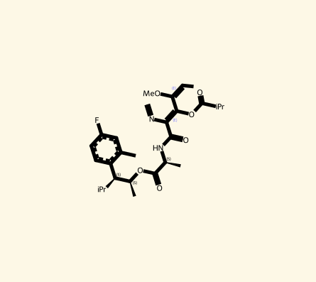 C=N/C(C(=O)N[C@@H](C)C(=O)O[C@@H](C)[C@H](c1ccc(F)cc1C)C(C)C)=C(OC(=O)C(C)C)\C(=C/C)OC